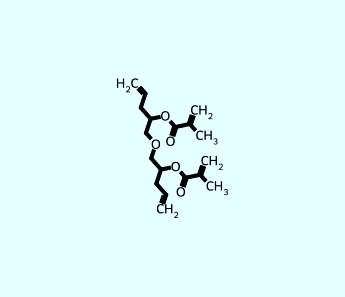 C=CCC(COCC(CC=C)OC(=O)C(=C)C)OC(=O)C(=C)C